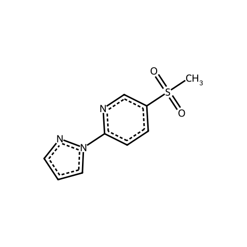 CS(=O)(=O)c1ccc(-n2cccn2)nc1